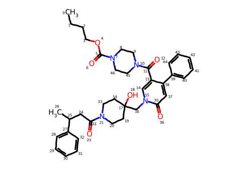 CCCCOC(=O)N1CCN(C(=O)c2cn(CC3(O)CCN(C(=O)CC(C)c4ccccc4)CC3)c(=O)cc2-c2ccccc2)CC1